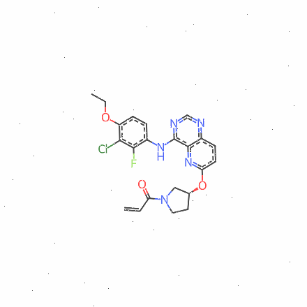 C=CC(=O)N1CC[C@H](Oc2ccc3ncnc(Nc4ccc(OCC)c(Cl)c4F)c3n2)C1